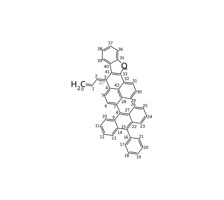 C=C/C=c1\c2ccc(-c3c4ccccc4c(-c4ccccc4)c4ccccc34)c3cccc(c4oc5ccccc5c14)c32